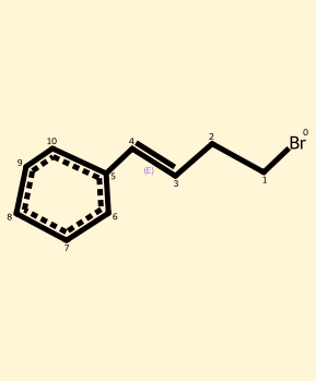 BrCC/C=C/c1ccccc1